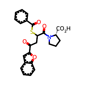 O=C(SC(CC(=O)c1cc2ccccc2o1)C(=O)N1CCC[C@H]1C(=O)O)c1ccccc1